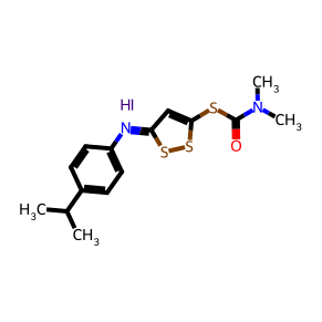 CC(C)c1ccc(N=c2cc(SC(=O)N(C)C)ss2)cc1.I